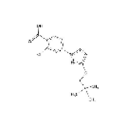 CC(C)(C)COc1ccn(-c2ccc(C(=O)O)c(Cl)n2)n1